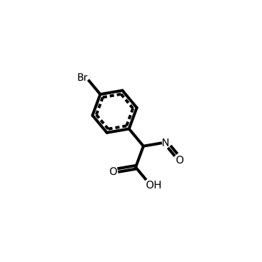 O=NC(C(=O)O)c1ccc(Br)cc1